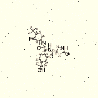 CC(C)(C)c1ccc(NC(=O)[C@H](NC(=O)[C@@H]2CNC(=O)C2)c2ccc(C(C)(C)O)cc2)cc1F